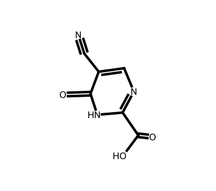 N#Cc1cnc(C(=O)O)[nH]c1=O